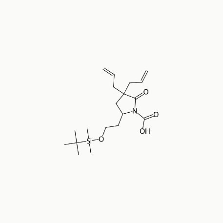 C=CCC1(CC=C)CC(CCO[Si](C)(C)C(C)(C)C)N(C(=O)O)C1=O